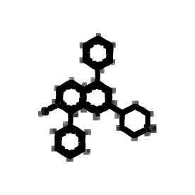 [O-][n+]1ccc2c(-c3ccccc3)cc(C3CCNCC3)nc2c1-c1ccccc1